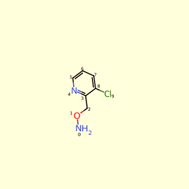 NOCc1ncccc1Cl